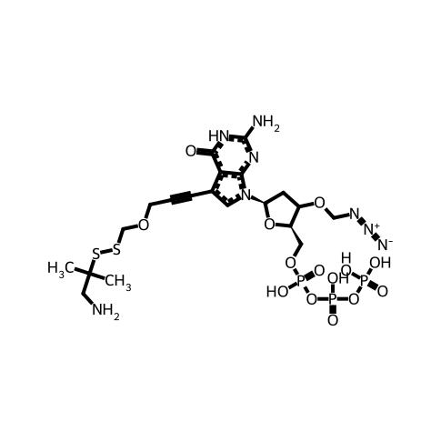 CC(C)(CN)SSCOCC#Cc1cn([C@H]2CC(OCN=[N+]=[N-])[C@@H](COP(=O)(O)OP(=O)(O)OP(=O)(O)O)O2)c2nc(N)[nH]c(=O)c12